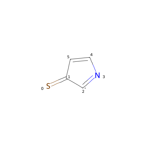 S=C1[C]=NC=C1